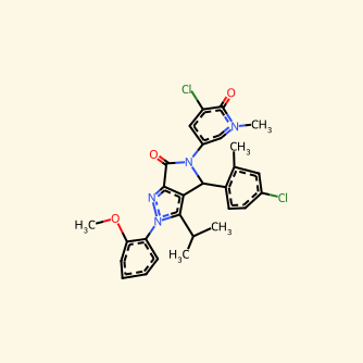 COc1ccccc1-n1nc2c(c1C(C)C)C(c1ccc(Cl)cc1C)N(c1cc(Cl)c(=O)n(C)c1)C2=O